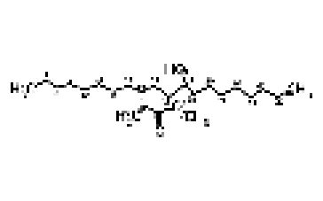 C=CC(=O)OC.CCCCCCCCCCCC(O)CCCCCCCC